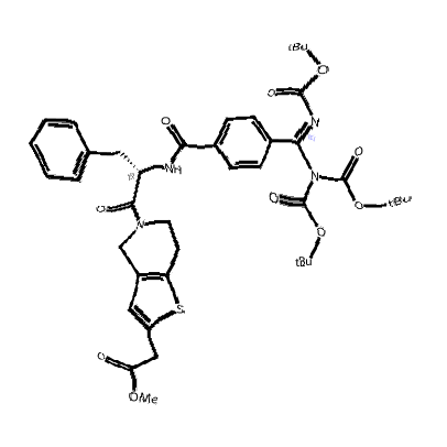 COC(=O)Cc1cc2c(s1)CCN(C(=O)[C@H](Cc1ccccc1)NC(=O)c1ccc(/C(=N\C(=O)OC(C)(C)C)N(C(=O)OC(C)(C)C)C(=O)OC(C)(C)C)cc1)C2